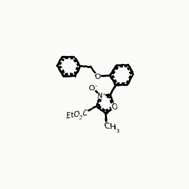 CCOC(=O)c1c(C)oc(-c2ccccc2OCc2ccccc2)[n+]1[O-]